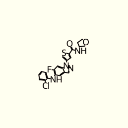 O=C(NC1CCOC1)c1cc(-n2ncc3cc(Nc4ccccc4Cl)c(F)cc32)cs1